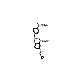 CO[C@H]1CN(Cc2ccc([C@H](C)NC(C)=O)cc2)Cc2ccc(OCC3CC3)cc21